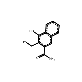 CC(C)Cc1c(C(N)=O)cc2ccccc2c1O